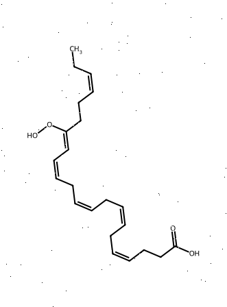 CC/C=C\CC/C(=C/C=C\C/C=C\C/C=C\C/C=C\CCC(=O)O)OO